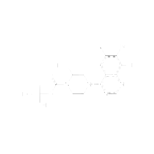 CC1CN(c2ncnc3c(F)c(Br)c(Cl)cc23)CCN1C(=O)OC(C)(C)C